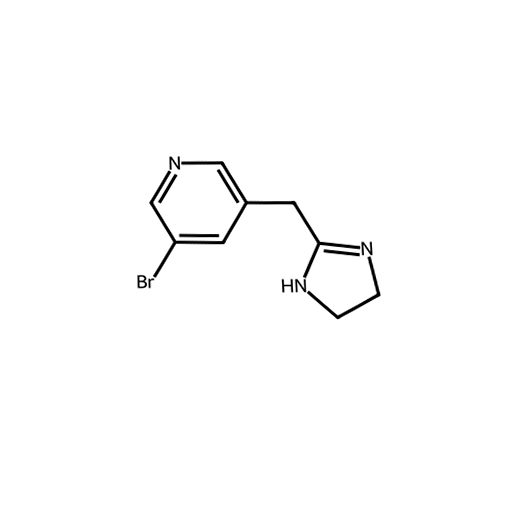 Brc1cncc(CC2=NCCN2)c1